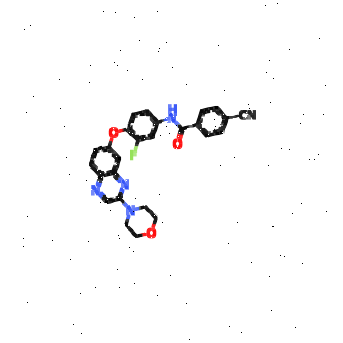 N#Cc1ccc(C(=O)Nc2ccc(Oc3ccc4ncc(N5CCOCC5)nc4c3)c(F)c2)cc1